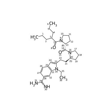 CCCC(CCC)C(=O)N1CCC[C@@H]1C(=O)N1CCC[C@H]1CCc1cc2ccc(C(=N)N)cc2n1CC